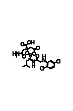 CNC(=O)C[C@@]1(C(=O)O)CC(=O)OB([C@H](CC(C)C)NC(=O)CNc2cc(Cl)ccc2Cl)O1